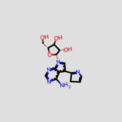 Nc1ncnc2c1c(C1=NC=CC1)cn2[C@@H]1O[C@H](CO)C(O)[C@@H]1O